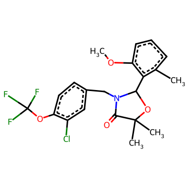 COc1cccc(C)c1C1OC(C)(C)C(=O)N1Cc1ccc(OC(F)(F)F)c(Cl)c1